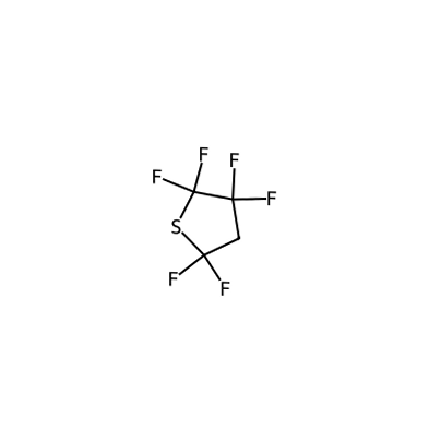 FC1(F)CC(F)(F)C(F)(F)S1